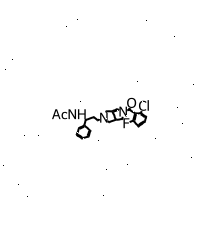 CC(=O)N[C@@H](CCN1CC2=CN(C(=O)c3c(F)cccc3Cl)CC2C1)c1ccccc1